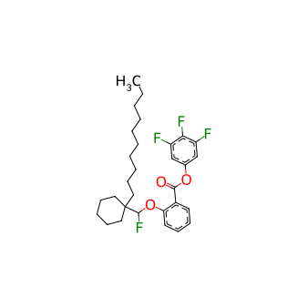 CCCCCCCCCCC1(C(F)Oc2ccccc2C(=O)Oc2cc(F)c(F)c(F)c2)CCCCC1